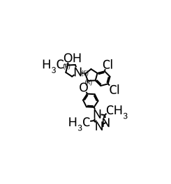 Cc1nnc(C)n1-c1ccc(O[C@@H]2c3cc(Cl)cc(Cl)c3C[C@@H]2N2CC[C@@](C)(O)C2)cc1